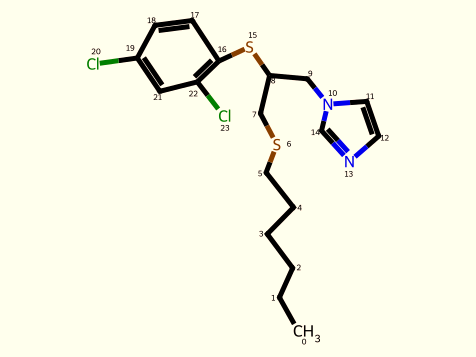 CCCCCCSCC(Cn1ccnc1)Sc1ccc(Cl)cc1Cl